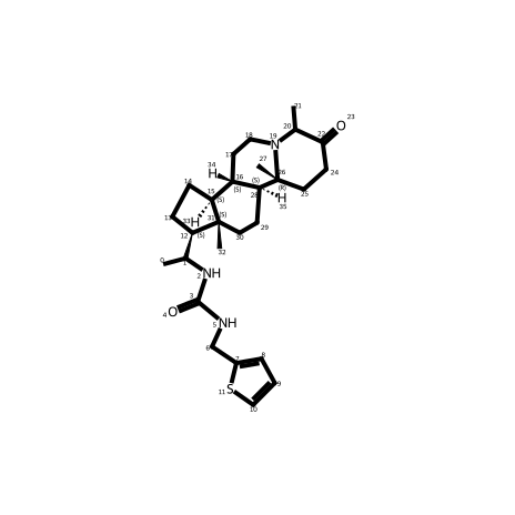 CC(NC(=O)NCc1cccs1)[C@H]1CC[C@H]2[C@@H]3CCN4C(C)C(=O)CC[C@]4(C)[C@H]3CC[C@]12C